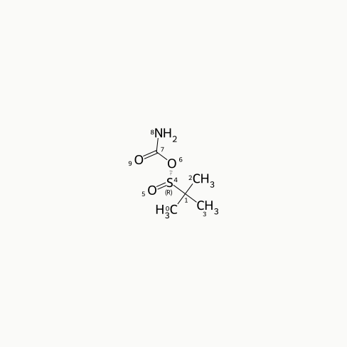 CC(C)(C)[S@](=O)OC(N)=O